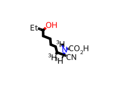 [3H]C(CCCCC(O)CC)[C@@]([3H])(C#N)N([3H])C(=O)O